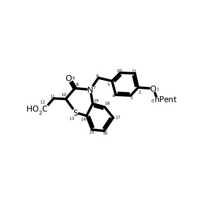 CCCCCOc1ccc(CN2C(=O)C(CC(=O)O)Sc3ccccc32)cc1